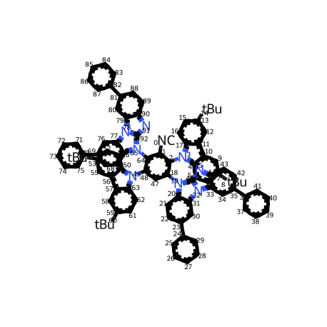 [C-]#[N+]c1c(-n2c3ccc(C(C)(C)C)cc3c3cc(C(C)(C)C)ccc32)c(-n2c3ccc(-c4ccccc4)cc3n3c4cc(-c5ccccc5)ccc4nc23)cc(-n2c3ccc(C(C)(C)C)cc3c3cc(C(C)(C)C)ccc32)c1-n1c2ccc(-c3ccccc3)cc2n2c3cc(-c4ccccc4)ccc3nc12